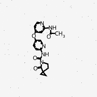 CC(=O)Nc1cc(Oc2ccc(NC(=O)N3CCC4(CC4)C3=O)nc2)ccn1